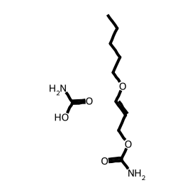 CCCCCOC=CCOC(N)=O.NC(=O)O